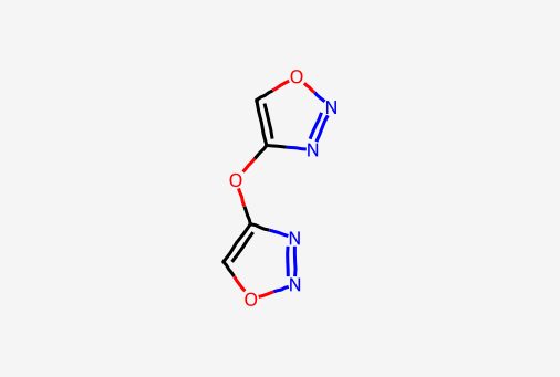 c1onnc1Oc1conn1